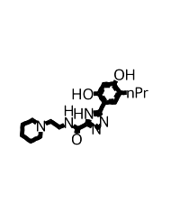 CCCc1cc(-c2nnc(C(=O)NCCN3CCCCC3)[nH]2)c(O)cc1O